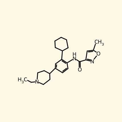 CCN1CCC(c2ccc(NC(=O)c3cc(C)on3)c(C3CCCCC3)c2)CC1